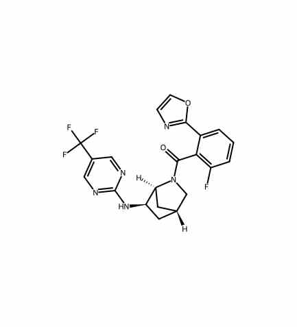 O=C(c1c(F)cccc1-c1ncco1)N1C[C@@H]2C[C@@H](Nc3ncc(C(F)(F)F)cn3)[C@@H]1C2